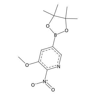 COc1cc(B2OC(C)(C)C(C)(C)O2)cnc1[N+](=O)[O-]